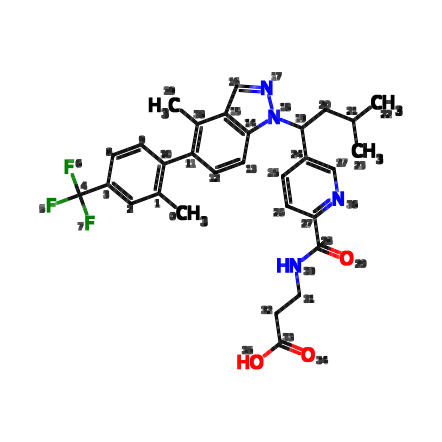 Cc1cc(C(F)(F)F)ccc1-c1ccc2c(cnn2C(CC(C)C)c2ccc(C(=O)NCCC(=O)O)nc2)c1C